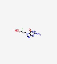 Nc1nc2ncn(CCC(F)CO)c2c(=O)[nH]1